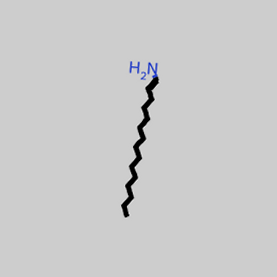 CCCCCCCCCCCCC/C=C/N